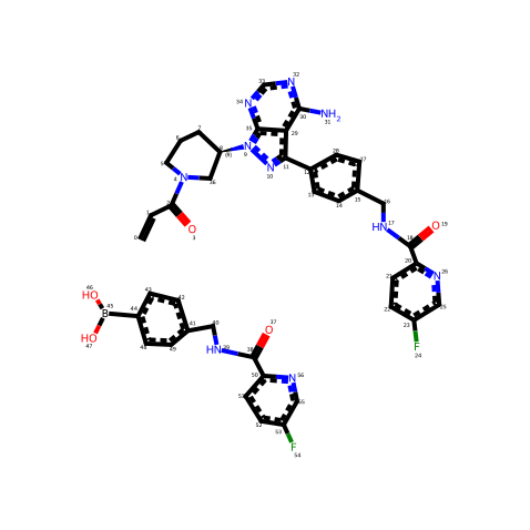 C=CC(=O)N1CCC[C@@H](n2nc(-c3ccc(CNC(=O)c4ccc(F)cn4)cc3)c3c(N)ncnc32)C1.O=C(NCc1ccc(B(O)O)cc1)c1ccc(F)cn1